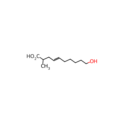 CC(CC=CCCCCCO)C(=O)O